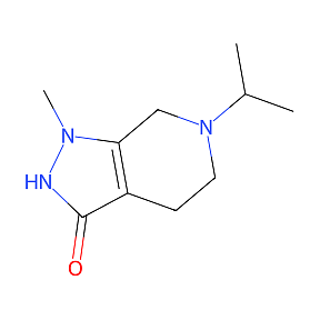 CC(C)N1CCc2c(n(C)[nH]c2=O)C1